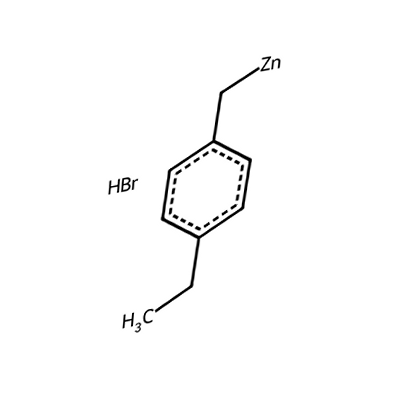 Br.CCc1ccc([CH2][Zn])cc1